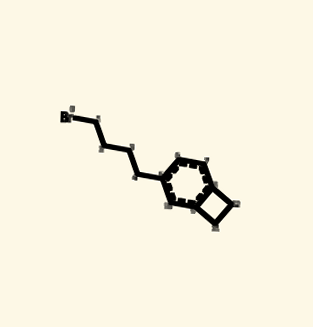 BrCCCCc1ccc2c(c1)CC2